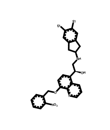 CCc1cc2c(cc1CC)CC(NC[C@@H](O)c1ccc(OCc3ccccc3[N+](=O)[O-])c3ncccc13)C2